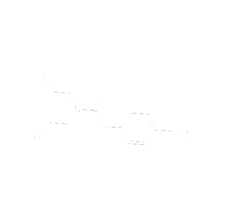 O=C(O)c1ccc(OC(=O)N(CCCl)CCCl)cc1